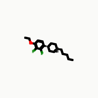 CCCCC[Si@H]1CC[C@H](c2ccc(OCC)c(F)c2F)CC1